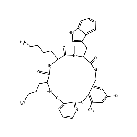 CN1C(=O)C(CCCCN)NC(=O)C(CCCN)NCc2cccnc2Sc2c(cc(Br)cc2C(F)(F)F)CNC(=O)C1Cc1c[nH]c2ccccc12